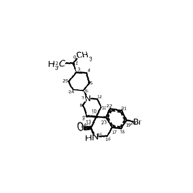 CC(C)[C@H]1CC[C@@H](N2CCC3(CC2)C(=O)NCc2cc(Br)ccc23)CC1